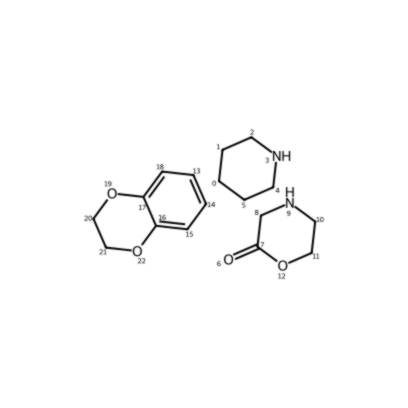 C1CCNCC1.O=C1CNCCO1.c1ccc2c(c1)OCCO2